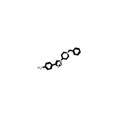 Cc1ccc(-c2cn(C3CCN(Cc4ccccc4)CC3)nn2)cc1